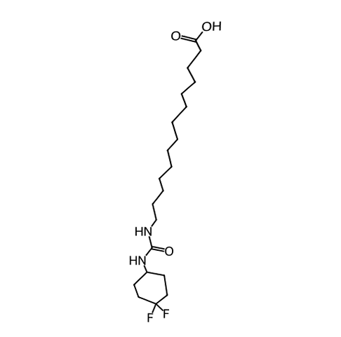 O=C(O)CCCCCCCCCCCCCNC(=O)NC1CCC(F)(F)CC1